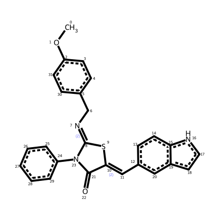 COc1ccc(C/N=C2\S/C(=C\c3ccc4[nH]ccc4c3)C(=O)N2c2ccccc2)cc1